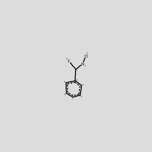 FC([N]Cl)c1ccccc1